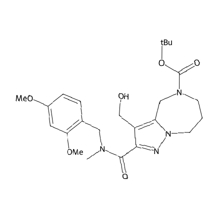 COc1ccc(CN(C)C(=O)c2nn3c(c2CO)CN(C(=O)OC(C)(C)C)CCC3)c(OC)c1